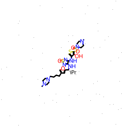 CC(C)[C@@H](Nc1n[s+]([O-])nc1Nc1csc(S(=O)(=O)N2CCN(C)CC2)c1O)c1cc(CCCCN2CCN(C)CC2)co1